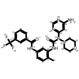 Cc1ccc(NC(=O)c2cccc(C(F)(F)F)c2)cc1NC(=O)N(c1cc(N)ncn1)N1CCOCC1